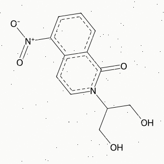 O=c1c2cccc([N+](=O)[O-])c2ccn1C(CO)CO